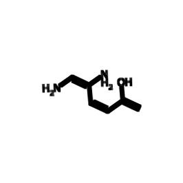 C=C(O)/C=C\C(N)=C/N